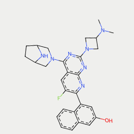 CN(C)C1CN(c2nc(N3CC4CCC(C3)N4)c3cc(F)c(-c4cc(O)cc5ccccc45)nc3n2)C1